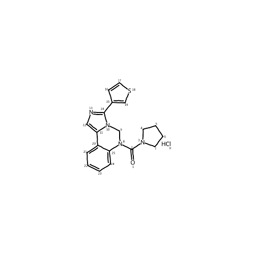 Cl.O=C(N1CCCC1)N1Cn2c(cnc2-c2ccsc2)-c2ccccc21